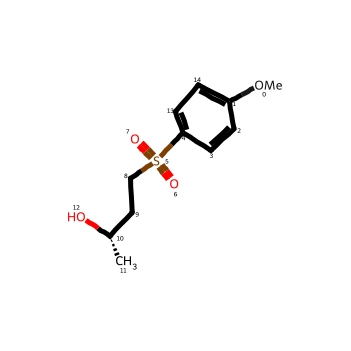 COc1ccc(S(=O)(=O)CC[C@H](C)O)cc1